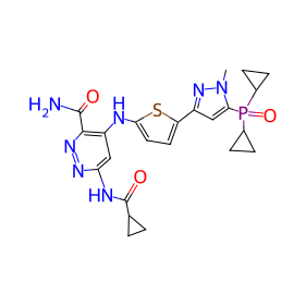 Cn1nc(-c2ccc(Nc3cc(NC(=O)C4CC4)nnc3C(N)=O)s2)cc1P(=O)(C1CC1)C1CC1